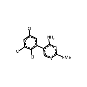 CNc1ncc(-c2cc(Cl)cc(Cl)c2Cl)c(N)n1